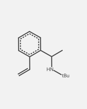 C=Cc1ccccc1C(C)NC(C)(C)C